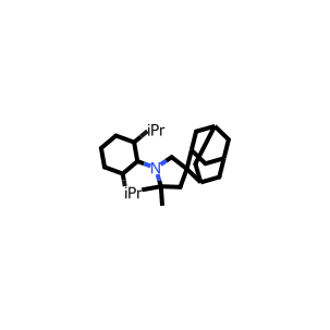 CC(C)C1CCCC(C(C)C)C1N1CC2(CC1(C)C)C1CC3CC(C1)CC2C3